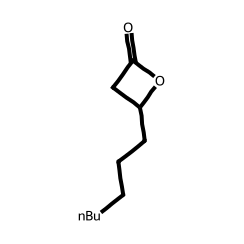 CCCCCCCC1CC(=O)O1